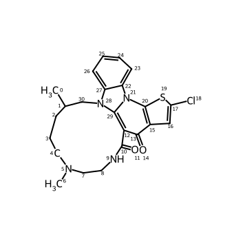 CC1CCCN(C)CCNC(=O)c2c(=O)c3cc(Cl)sc3n3c4ccccc4n(c23)C1